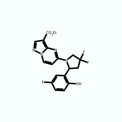 CCOC(=O)c1cnn2ccc(N3CC(F)(F)CC3c3cc(F)ccc3O)nc12